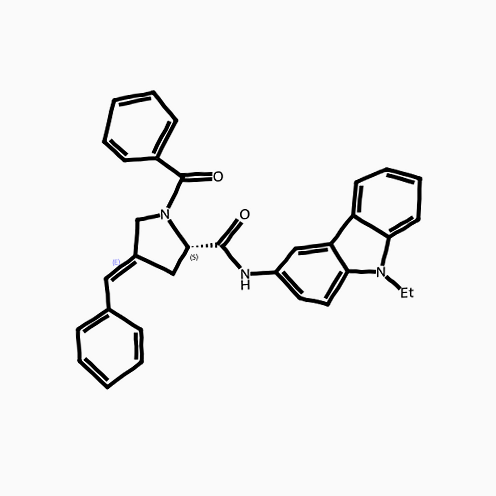 CCn1c2ccccc2c2cc(NC(=O)[C@@H]3C/C(=C\c4ccccc4)CN3C(=O)c3ccccc3)ccc21